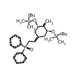 C=C1[C@@H](O[Si](C)(C)C(C)(C)C)CC(=CCP(=O)(c2ccccc2)c2ccccc2)C[C@H]1O[Si](C)(C)C(C)(C)C